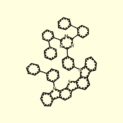 c1ccc(-c2cccc(-n3c4ccccc4c4ccc5c6ccc7c8ccccc8n(-c8cccc(-c9nc(-c%10ccccc%10-c%10ccccc%10)nc(-c%10ccccc%10-c%10ccccc%10)n9)c8)c7c6sc5c43)c2)cc1